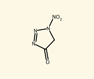 O=C1CN([N+](=O)[O-])N=N1